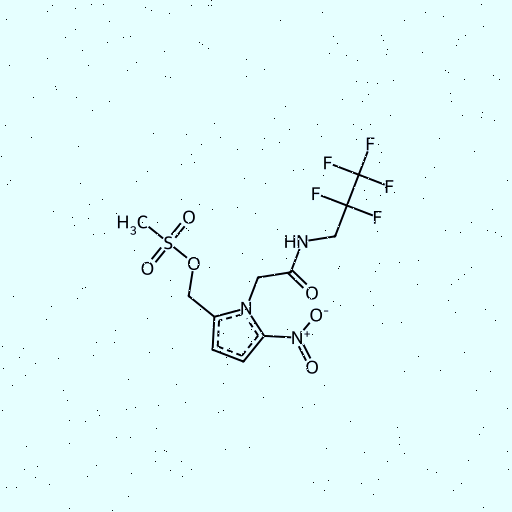 CS(=O)(=O)OCc1ccc([N+](=O)[O-])n1CC(=O)NCC(F)(F)C(F)(F)F